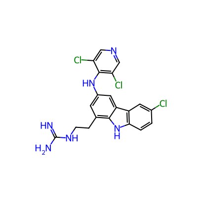 N=C(N)NCCc1cc(Nc2c(Cl)cncc2Cl)cc2c1[nH]c1ccc(Cl)cc12